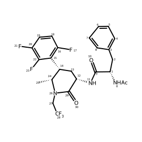 CC(=O)N[C@@H](Cc1ccccc1)C(=O)N[C@H]1C[C@@H](c2c(F)ccc(F)c2F)[C@@H](C)N(CC(F)(F)F)C1=O